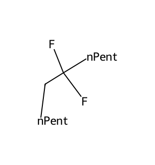 CCCCCCC(F)(F)CCCCC